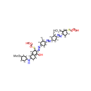 COc1ccc(Nc2ccc3c(O)c(N=Nc4ccc(N=Nc5ccc(N=Nc6ccc(SOOO)cc6S(=O)(=O)O)c(C)c5)c(C)c4)c(SOOO)cc3c2)cc1